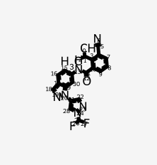 CC(C)c1c(C#N)cccc1C(=O)Nc1ccc2cnn(-c3cnn(C(F)F)c3)c2c1